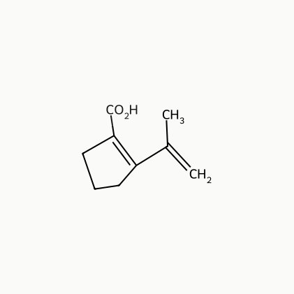 C=C(C)C1=C(C(=O)O)CCC1